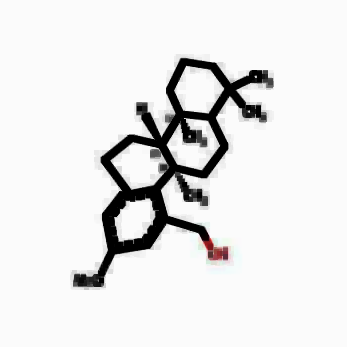 COc1cc(CO)c2c(c1)CC[C@H]1[C@@]2(C)CCC2C(C)(C)CCC[C@@]21C